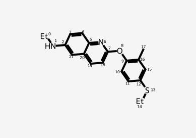 CCNc1ccc2nc(Oc3ccc(SCC)cc3C)ccc2c1